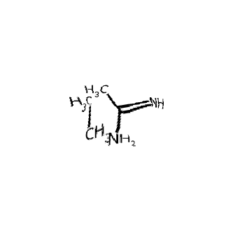 CC.CC(=N)N